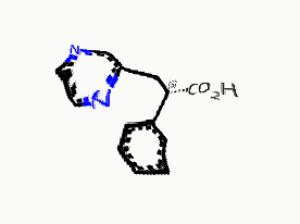 O=C(O)[C@@H](Cc1cnccn1)c1ccccc1